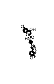 O=C(NC12CC(n3cnc(-c4ccc(Cl)c(F)c4F)c3)(C1)C2)[C@H]1C[C@@H](O)c2cc(Cl)ccc2O1